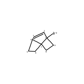 [Ir][C]12C=C=C3CCC31CC2